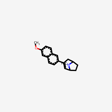 COc1ccc2cc(C3=CC4CCC(C3)N4C)ccc2c1